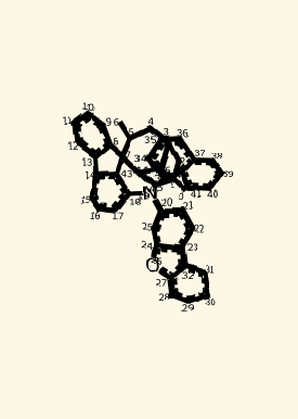 CC1CC2CC(C)C3(c4ccccc4-c4cccc(N(c5ccc6c(c5)oc5ccccc56)c5cccc6ccccc56)c43)C(C1)C2